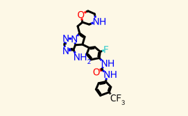 NC1=NC=NN2C(CC3CNCCO3)=CC(c3ccc(NC(=O)Nc4cccc(C(F)(F)F)c4)c(F)c3)C12